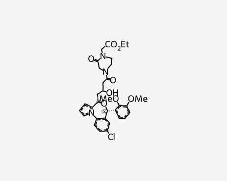 CCOC(=O)CN1CCN(C(=O)CC(O)C[C@H]2O[C@H](c3cccc(OC)c3OC)c3cc(Cl)ccc3-n3cccc32)CC1=O